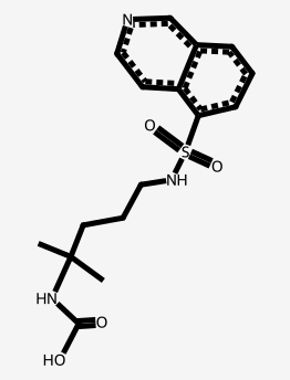 CC(C)(CCCNS(=O)(=O)c1cccc2cnccc12)NC(=O)O